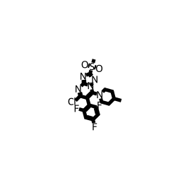 CC1CCN(c2c(-c3c(F)cc(F)cc3F)c(Cl)nc3nc(S(C)(=O)=O)nn23)CC1